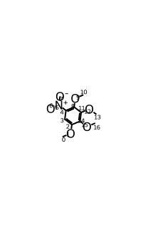 COc1cc([N+](=O)[O-])c(OC)c(OC)c1OC